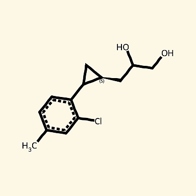 Cc1ccc(C2C[C@H]2CC(O)CO)c(Cl)c1